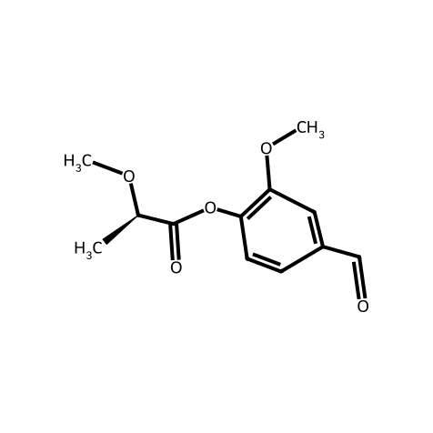 COc1cc(C=O)ccc1OC(=O)[C@@H](C)OC